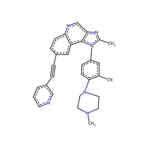 Cc1nc2cnc3ccc(C#Cc4cccnc4)cc3c2n1-c1ccc(N2CCN(C)CC2)c(C#N)c1